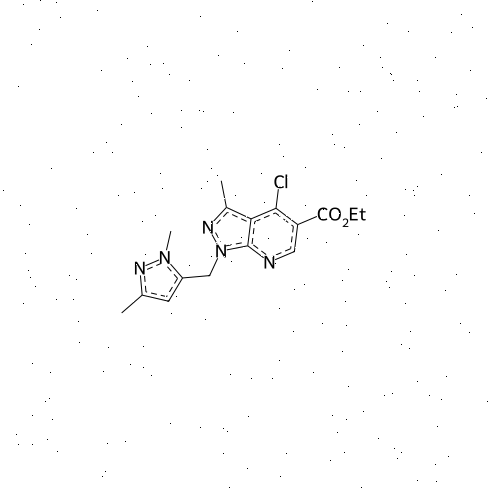 CCOC(=O)c1cnc2c(c(C)nn2Cc2cc(C)nn2C)c1Cl